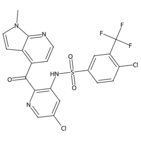 Cn1ccc2c(C(=O)c3ncc(Cl)cc3NS(=O)(=O)c3ccc(Cl)c(C(F)(F)F)c3)ccnc21